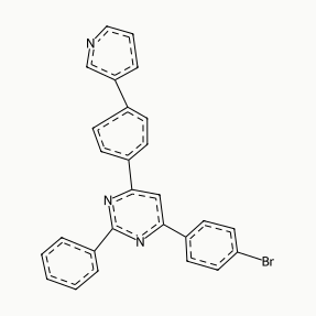 Brc1ccc(-c2cc(-c3ccc(-c4cccnc4)cc3)nc(-c3ccccc3)n2)cc1